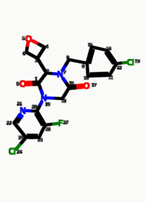 O=C1C(C2COC2)N(Cc2ccc(Cl)cc2)C(=O)CN1c1ncc(Cl)cc1F